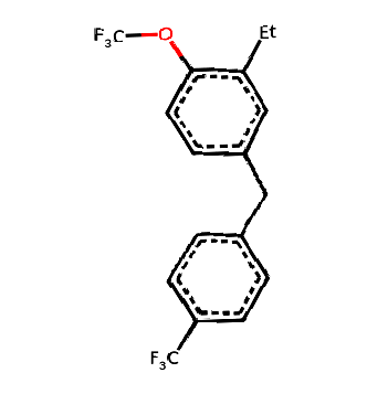 CCc1cc(Cc2ccc(C(F)(F)F)cc2)ccc1OC(F)(F)F